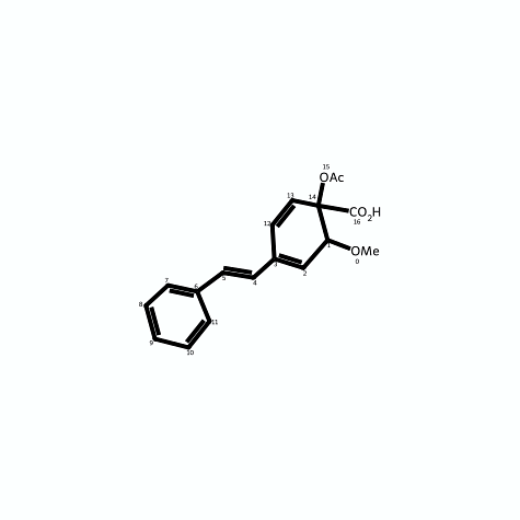 COC1C=C(C=Cc2ccccc2)C=CC1(OC(C)=O)C(=O)O